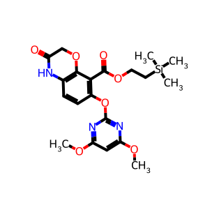 COc1cc(OC)nc(Oc2ccc3c(c2C(=O)OCC[Si](C)(C)C)OCC(=O)N3)n1